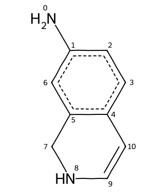 Nc1ccc2c(c1)CNC=C2